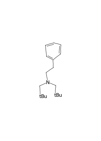 CC(C)(C)CN(CCc1ccccc1)CC(C)(C)C